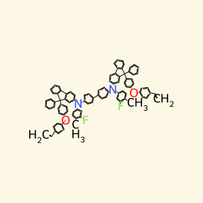 C=Cc1ccc(Oc2ccc(C3(c4ccccc4)c4ccccc4-c4ccc(N(c5ccc(-c6ccc(N(c7ccc(C)c(F)c7)c7ccc8c(c7)C(c7ccccc7)(c7ccc(Oc9ccc(C=C)cc9)cc7)c7ccccc7-8)cc6)cc5)c5ccc(C)c(F)c5)cc43)cc2)cc1